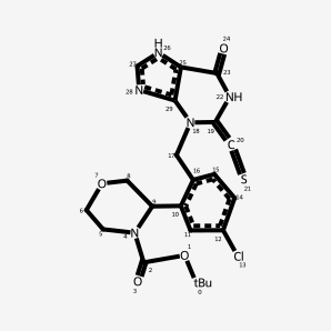 CC(C)(C)OC(=O)N1CCOCC1c1cc(Cl)ccc1CN1C(=C=S)NC(=O)c2[nH]cnc21